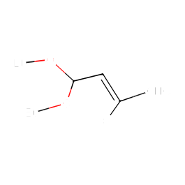 CCOC(/C=C(\C)C=O)OCC